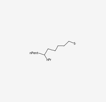 CCCCCC(CCC)CCCCC[S]